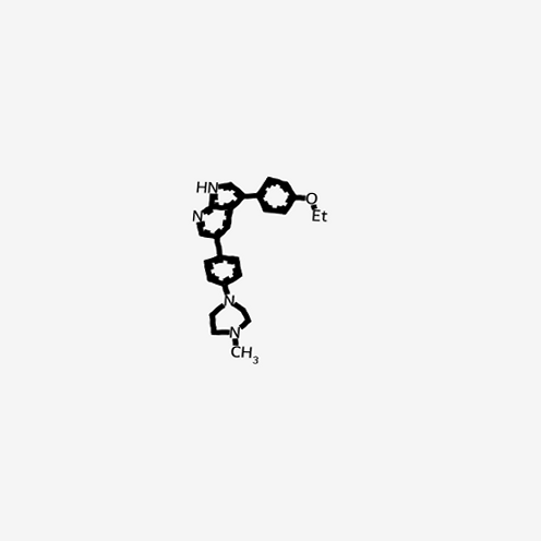 CCOc1ccc(-c2c[nH]c3ncc(-c4ccc(N5CCN(C)CC5)cc4)cc23)cc1